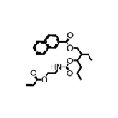 C=CC(=O)OCCNC(=O)OC(CCC)C(CC)COC(=O)c1ccc2ccccc2c1